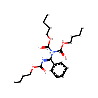 CCCCOC(=O)/N=C(\c1cc[c]cc1)N(C(=O)OCCCC)C(=O)OCCCC